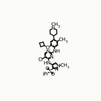 Cc1cc(Nc2ncc(Cl)c(Nc3cn(C)nc3S(=O)(=O)C(C)C)n2)c(OC2CCC2)cc1C1CCN(C)CC1